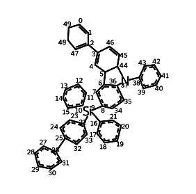 C1=CC(C2=CC3c4cc([Si](c5ccccc5)(c5ccccc5)c5ccc(-c6ccccc6)cc5)ccc4N(c4ccccc4)C3C=C2)=CCC1